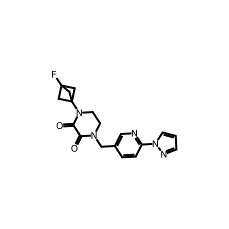 O=C1C(=O)N(C23CC(F)(C2)C3)CCN1Cc1ccc(-n2cccn2)nc1